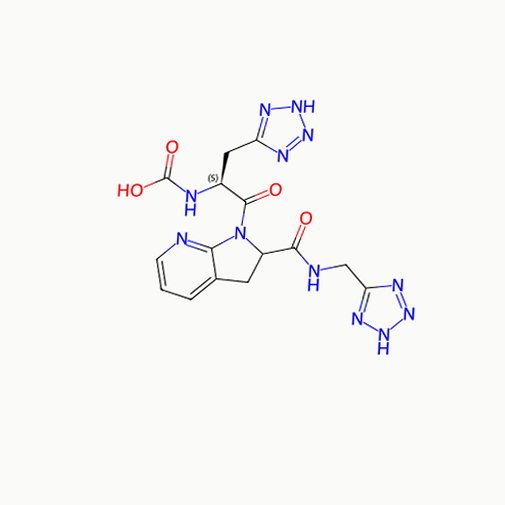 O=C(O)N[C@@H](Cc1nn[nH]n1)C(=O)N1c2ncccc2CC1C(=O)NCc1nn[nH]n1